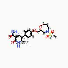 CC(C)S(=O)(=O)N1CCCOC(COc2ccc(-c3cc(C(N)=O)c(=O)[nH]c3C(F)(F)F)cc2)C1